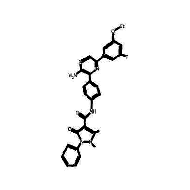 CCOc1cc(F)cc(-c2cnc(N)c(-c3ccc(NC(=O)c4c(C)n(C)n(-c5ccccc5)c4=O)cc3)n2)c1